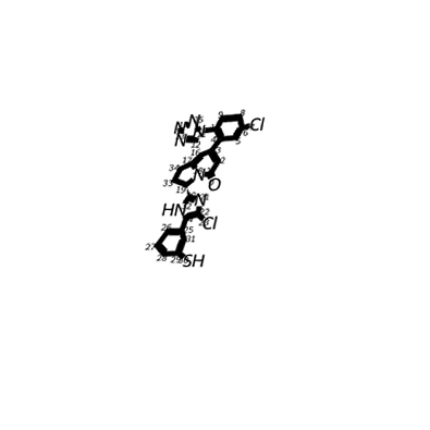 O=c1cc(-c2cc(Cl)ccc2-n2cnnn2)cc2n1[C@H](c1nc(Cl)c(-c3cccc(S)c3)[nH]1)CC2